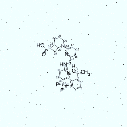 CC(C)c1ccccc1-c1nc(NSc2cccc(N3CCCC4C(C(=O)O)CC43)n2)ccc1C(F)(F)F